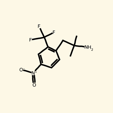 CC(C)(N)Cc1ccc([N+](=O)[O-])cc1C(F)(F)F